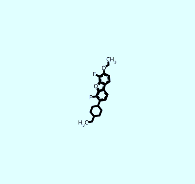 CCOc1ccc2c(oc3c(F)c(C4CCC(CC)CC4)ccc32)c1F